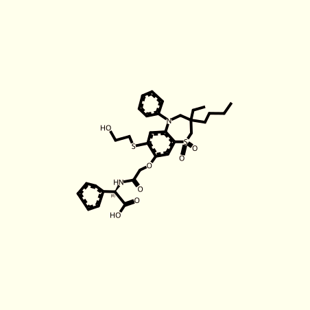 CCCCC1(CC)CN(c2ccccc2)c2cc(SCCO)c(OCC(=O)N[C@@H](C(=O)O)c3ccccc3)cc2S(=O)(=O)C1